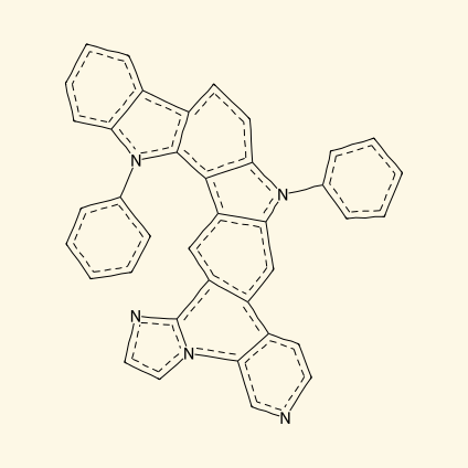 c1ccc(-n2c3cc4c5ccncc5n5ccnc5c4cc3c3c2ccc2c4ccccc4n(-c4ccccc4)c23)cc1